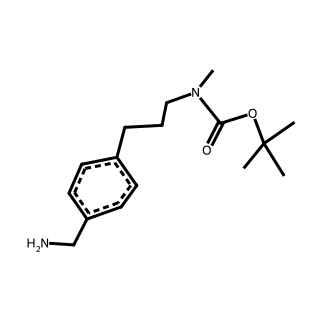 CN(CCCc1ccc(CN)cc1)C(=O)OC(C)(C)C